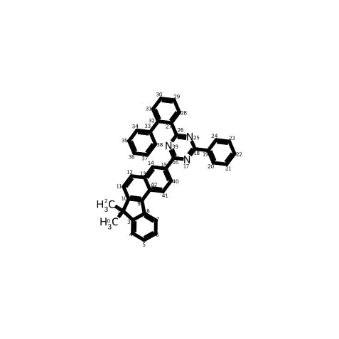 CC1(C)c2ccccc2-c2c1ccc1cc(-c3nc(-c4ccccc4)nc(-c4ccccc4-c4ccccc4)n3)ccc21